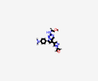 COC[C@H](C)Nc1ncc2c(-c3cnn(C4COC4)c3)cc([C@H]3CC[C@@H](N(C)C)CC3)n2n1